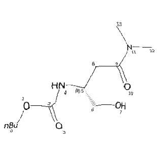 CCCCOC(=O)N[C@@H](CO)CC(=O)N(C)C